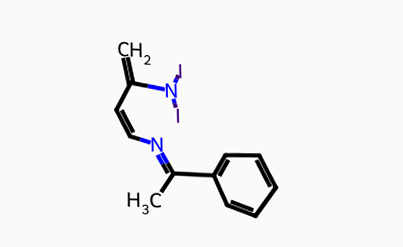 C=C(/C=C\N=C(/C)c1ccccc1)N(I)I